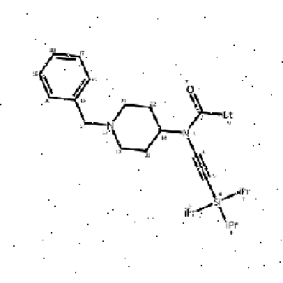 CCC(=O)N(C#C[Si](C(C)C)(C(C)C)C(C)C)C1CCN(Cc2ccccc2)CC1